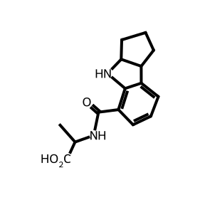 CC(NC(=O)c1cccc2c1NC1CCCC21)C(=O)O